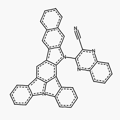 N#Cc1nc2ccccc2nc1-n1c2cc3ccccc3cc2c2cc3c4ccccc4n4c5ccccc5c(c21)c34